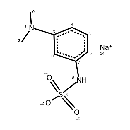 CN(C)c1cccc(NS(=O)(=O)[O-])c1.[Na+]